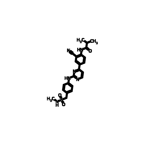 CNS(=O)(=O)Cc1ccc(Nc2nccc(-c3ccc(NC(=O)C(C)C)c(C#N)c3)n2)cc1